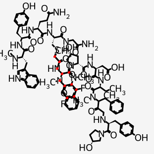 CCCC[C@@H](C(=O)N1C[C@H](O)C[C@@H]1C(=O)N[C@@H](CC(=O)O)C(=O)N[C@H](C(=O)N(C)C(Cc1ccccc1)C(=O)CN[C@@H](Cc1ccc(O)cc1)C(=O)N1CC[C@@H](O)C1)C(C)C)N(C)C(=O)[C@H](Cc1ccccc1)N(C)C(=O)[C@H](Cc1cc(F)c(F)c(F)c1)NC(=O)CSC[C@H](NC(=O)[C@H](CCC(N)=O)NC(=O)[C@H](Cc1ccc(O)cc1)NC(=O)[C@H](Cc1c[nH]c2ccccc12)NC)C(=O)NCC(N)=O